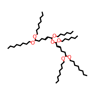 CCCCCCCCOC(CCC=CC(OCCCCCC)OC(C=CCCC(OCCCCCCCC)OCCCCCCCC)OCCCCCC)OCCCCCCCC